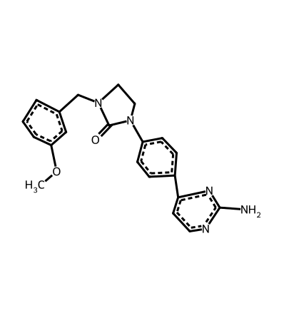 COc1cccc(CN2CCN(c3ccc(-c4ccnc(N)n4)cc3)C2=O)c1